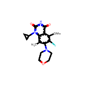 COc1c(F)c(N2CCOCC2)c(C)c2c1c(=O)[nH]c(=O)n2C1CC1